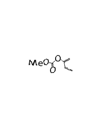 C=CC(=C)OC(=O)OC